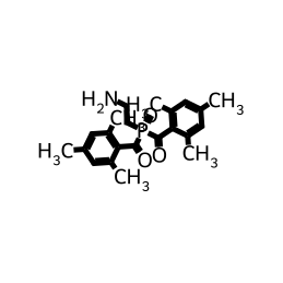 Cc1cc(C)c(C(=O)P(=O)(CCN)C(=O)c2c(C)cc(C)cc2C)c(C)c1